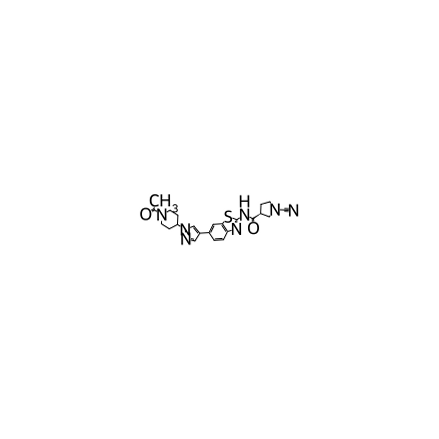 CC(=O)N1CCC(n2cc(-c3ccc4nc(NC(=O)[C@H]5CCN(C#N)C5)sc4c3)cn2)CC1